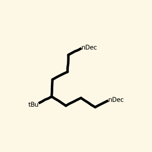 [CH2]C([CH2])([CH2])[C](CCCCCCCCCCCCC)CCCCCCCCCCCCC